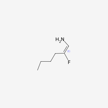 CCCC/C(F)=C\N